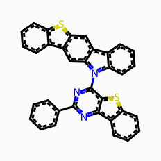 c1ccc(-c2nc(-n3c4ccccc4c4cc5sc6ccccc6c5cc43)c3sc4ccccc4c3n2)cc1